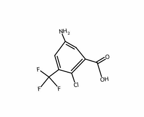 Nc1cc(C(=O)O)c(Cl)c(C(F)(F)F)c1